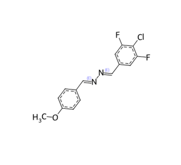 COc1ccc(/C=N/N=C/c2cc(F)c(Cl)c(F)c2)cc1